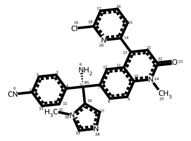 [C-]#[N+]c1ccc([C@@](N)(c2ccc3c(c2)c(-c2cccc(Cl)n2)cc(=O)n3C)c2cncn2C)cc1